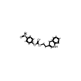 O=C(OCCC1=CNc2ccccc2C1)Oc1ccc([N+](=O)[O-])cc1